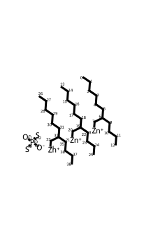 CCCCCCC([CH2][Zn+])CCCC.CCCCCCC([CH2][Zn+])CCCC.CCCCCCC([CH2][Zn+])CCCC.[O-]P([O-])(=S)[S-]